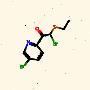 CCSC(Br)C(=O)c1ccc(Br)cn1